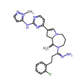 C=C1C2CC(c3ccnc(Nc4ccnn4C)n3)=CN2CCCN1/C(CCc1ccccc1F)=N\N